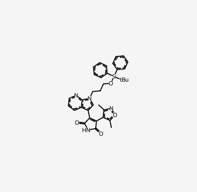 Cc1noc(C)c1C1=C(c2cn(CCCO[Si](c3ccccc3)(c3ccccc3)C(C)(C)C)c3ncccc23)C(=O)NC1=O